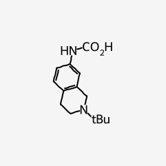 CC(C)(C)N1CCc2ccc(NC(=O)O)cc2C1